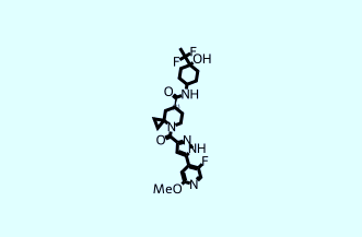 COc1cc(-c2cc(C(=O)N3CC[C@H](C(=O)NC4CCC(O)(C(C)(F)F)CC4)CC34CC4)n[nH]2)c(F)cn1